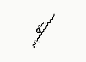 CCCCCCCCCCCCCCCCCC(=O)OCCO.OCCOc1ccccc1